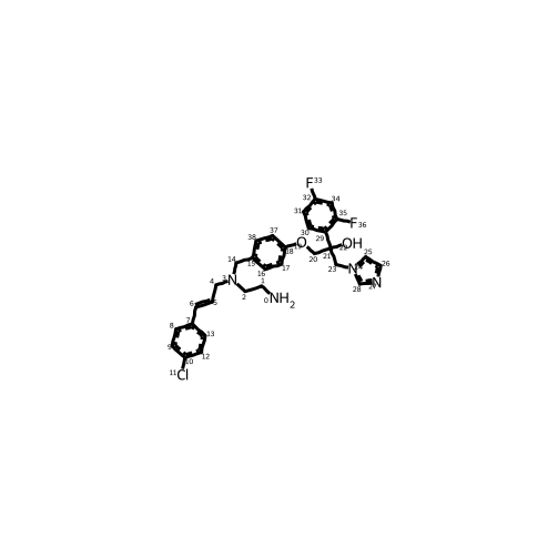 NCCN(CC=Cc1ccc(Cl)cc1)Cc1ccc(OCC(O)(Cn2ccnc2)c2ccc(F)cc2F)cc1